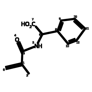 C=C(C)C(=O)NC(C(=O)O)c1ccccc1